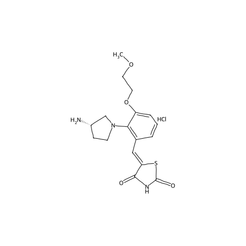 COCCOc1cccc(/C=C2\SC(=O)NC2=O)c1N1CC[C@H](N)C1.Cl